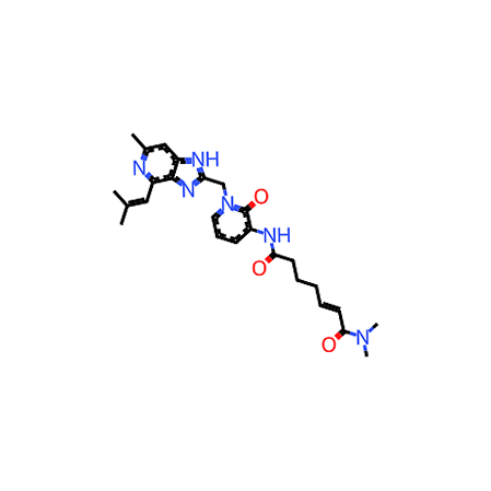 CC(C)=Cc1nc(C)cc2[nH]c(Cn3cccc(NC(=O)CCC/C=C/C(=O)N(C)C)c3=O)nc12